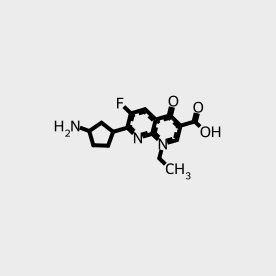 CCn1cc(C(=O)O)c(=O)c2cc(F)c(C3CCC(N)C3)nc21